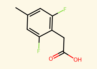 Cc1cc(F)c(CC(=O)O)c(F)c1